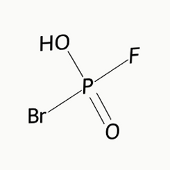 O=P(O)(F)Br